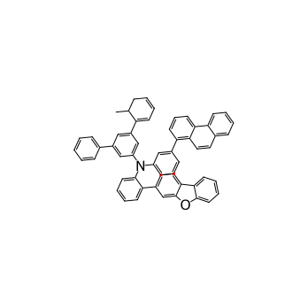 CC1CC=CC=C1c1cc(-c2ccccc2)cc(N(c2cccc(-c3cccc4c3ccc3ccccc34)c2)c2ccccc2-c2ccc3c(c2)oc2ccccc23)c1